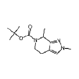 CC1c2nn(C)cc2CCN1C(=O)OC(C)(C)C